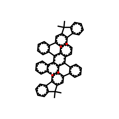 CC1(C)c2ccccc2-c2ccc(-c3ccccc3-c3c4ccccc4c(-c4ccccc4-c4ccc5c(c4)C(C)(C)c4ccccc4-5)c4c3cnc3ccccc34)cc21